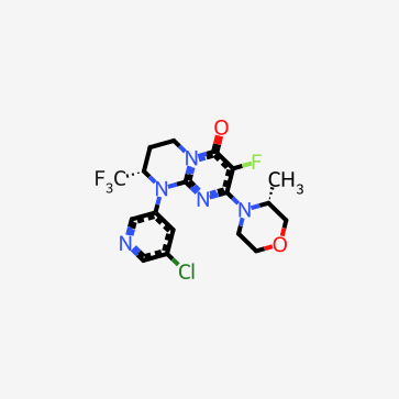 C[C@@H]1COCCN1c1nc2n(c(=O)c1F)CC[C@@H](C(F)(F)F)N2c1cncc(Cl)c1